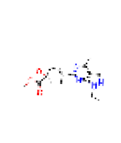 CCn1ncc2c(C)nc(C3=CCC(OC)(C(=O)OC)CC3)nc21